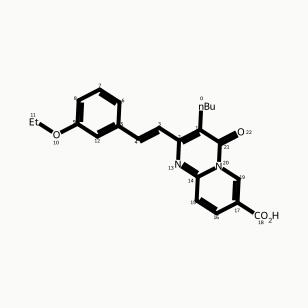 CCCCc1c(/C=C/c2cccc(OCC)c2)nc2ccc(C(=O)O)cn2c1=O